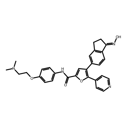 CN(C)CCOc1ccc(NC(=O)c2cc(-c3ccc4c(c3)CCC4=NO)c(-c3ccncc3)o2)cc1